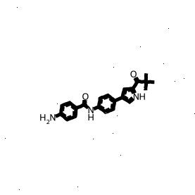 CC(C)(C)C(=O)c1cc(-c2ccc(NC(=O)c3ccc(N)cc3)cc2)c[nH]1